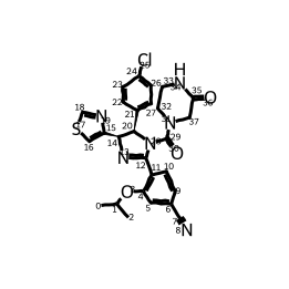 CC(C)Oc1cc(C#N)ccc1C1=N[C@@H](c2cscn2)[C@@H](c2ccc(Cl)cc2)N1C(=O)N1CCNC(=O)C1